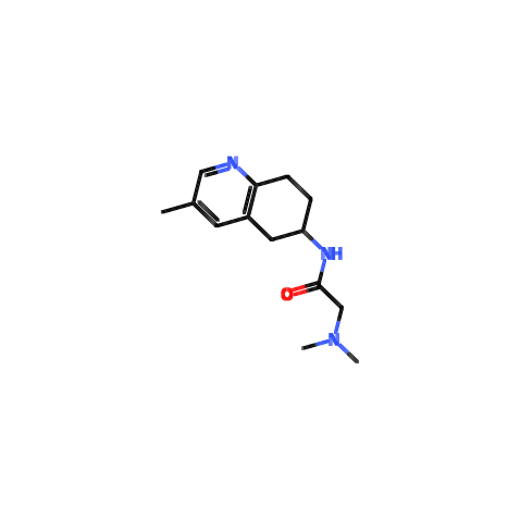 Cc1cnc2c(c1)CC(NC(=O)CN(C)C)CC2